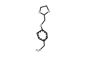 NCc1ccc(OCC2OCCO2)cc1